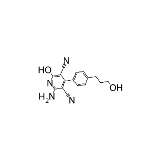 N#Cc1c(N)nc(O)c(C#N)c1-c1ccc(CCCO)cc1